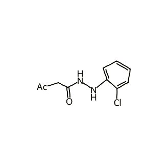 CC(=O)CC(=O)NNc1ccccc1Cl